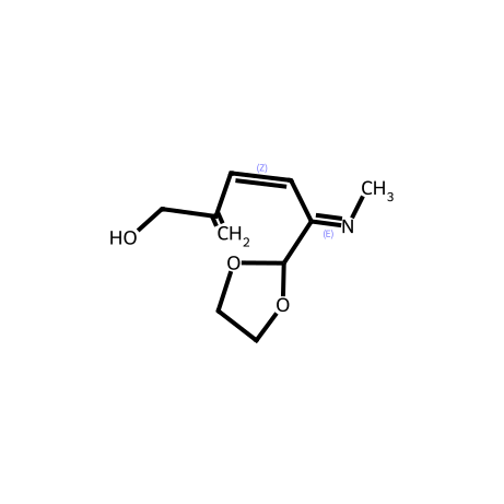 C=C(/C=C\C(=N/C)C1OCCO1)CO